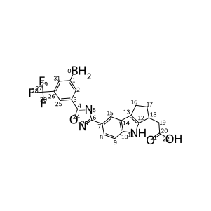 Bc1cc(-c2nc(-c3ccc4[nH]c5c(c4c3)CCC5CC(=O)O)no2)cc(C(F)(F)F)c1